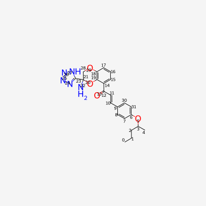 CCCC(C)Oc1ccc(C=CC(=O)c2cccc3c2OC(N)(c2nnn[nH]2)CO3)cc1